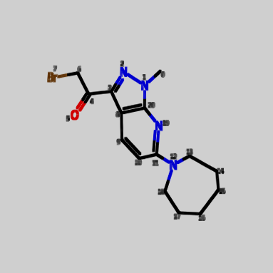 Cn1nc(C(=O)CBr)c2ccc(N3CCCCCC3)nc21